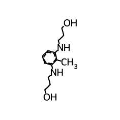 Cc1c(NCCCO)cccc1NCCCO